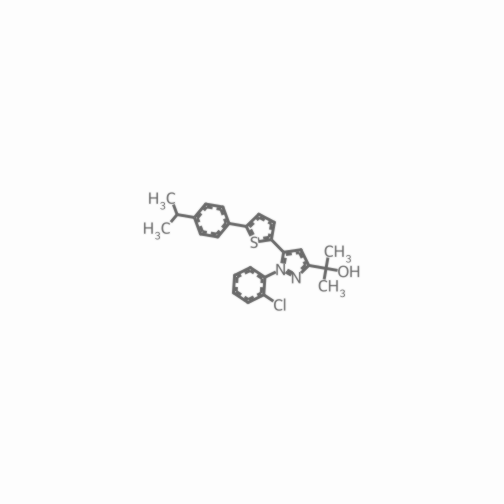 CC(C)c1ccc(-c2ccc(-c3cc(C(C)(C)O)nn3-c3ccccc3Cl)s2)cc1